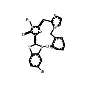 CCn1c(=O)/c(=C2\Sc3ccc(Br)cc3N2C)s/c1=C\c1scc[n+]1Cc1ccccc1